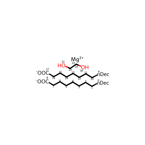 CCCCCCCCCCCCCCCCCC(=O)[O-].CCCCCCCCCCCCCCCCCC(=O)[O-].OCCO.[Mg+2]